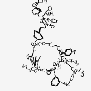 COc1ccc(C[C@H](NC=O)C(=O)N2CCC[C@H]2C(=O)NCCc2ccc(CN3CCCCCCn4cc(c5cc(F)ccc54)C[C@@H]4NC(=O)[C@H](Cc5cccc(c5)CNC(=O)CO[C@H](C)CCN(C)C4=O)NC(=O)CNC(=O)[C@H](C)NC(=O)CCC3=O)cc2)cc1